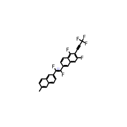 Cc1ccc2cc(/C(F)=C(\F)c3ccc4c(F)c(C#CC(F)(F)F)c(F)cc4c3)ccc2c1